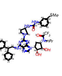 CCCN(C(=O)C(F)(F)F)[C@H]1C[C@@H](n2cnc3c(NCC(c4ccccc4)c4ccccc4)nc(N4CC[C@@H](NC(=O)Nc5cccc(SC)c5)C4)nc32)[C@H](O)[C@@H]1O